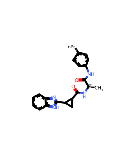 CCCc1ccc(NC(=O)[C@@H](C)NC(=O)C2CC2c2nc3ccccc3[nH]2)cc1